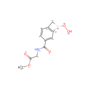 COC(=O)CNC(=O)c1ccc2c(c1)B(OO)C2